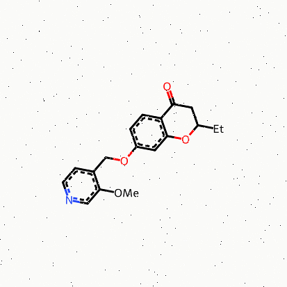 CCC1CC(=O)c2ccc(OCc3ccncc3OC)cc2O1